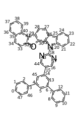 c1ccc(-c2cc(-c3ccccc3)cc(-c3cnc(-n4c5ccccc5c5ccc6c(oc7ccc8ccccc8c76)c54)nc3)c2)cc1